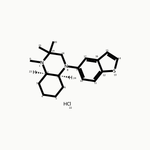 CN1[C@@H]2CCCC[C@@H]2N(c2ccc3sccc3c2)CC1(C)C.Cl